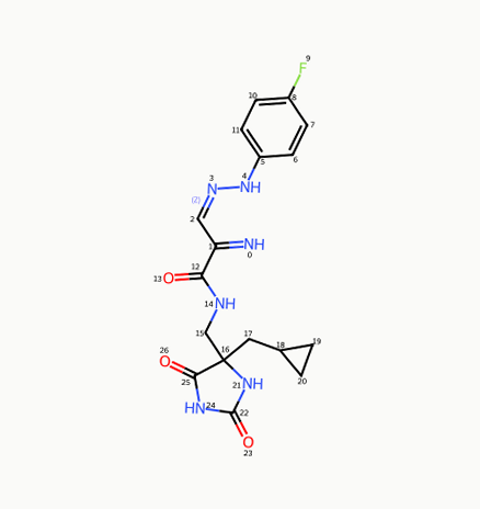 N=C(/C=N\Nc1ccc(F)cc1)C(=O)NCC1(CC2CC2)NC(=O)NC1=O